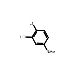 CCc1ccc(NC)cc1O